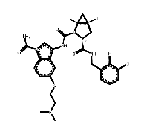 CN(C)CCOc1ccc2c(c1)c(NC(=O)N1[C@@H]3C[C@@H]3C[C@H]1C(=O)NCc1cccc(Cl)c1F)cn2C(N)=O